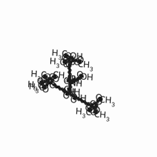 CC(=O)OC[C@@H]1C[C@H](OC(C)=O)[C@H](OC(C)=O)C(OCCCCCCNC(=O)CCC(NC(=O)CCC(NC(=O)CCCC(=O)O)C(=O)NCCCCCCO[C@H]2O[C@H](COC(C)=O)[C@@H](O)[C@H](OC(C)=O)[C@@H]2OC(C)=O)C(=O)NCCCCCCO[C@@H]2C[C@H](OC(C)=O)[C@@H](OC(C)=O)[C@@H](COC(C)=O)[C@H]2COC(C)=O)O1